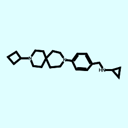 c1cc(N2CCC3(CC2)CCN(C2CCC2)CC3)ccc1CNC1CC1